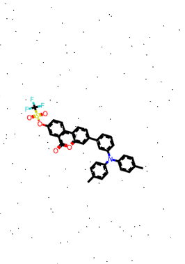 Cc1ccc(N(c2ccc(C)cc2)c2cccc(-c3ccc4c(c3)oc(=O)c3cc(OS(=O)(=O)C(F)(F)F)ccc34)c2)cc1